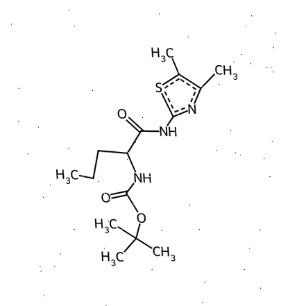 CCCC(NC(=O)OC(C)(C)C)C(=O)Nc1nc(C)c(C)s1